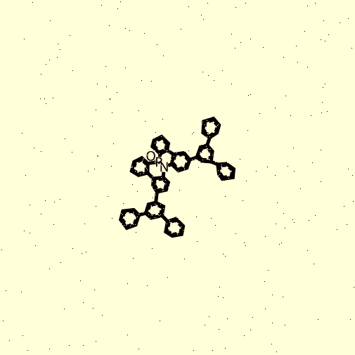 O=P12c3ccccc3-c3cc(-c4cc(-c5ccccc5)cc(-c5ccccc5)c4)ccc3N1c1ccc(-c3cc(-c4ccccc4)cc(-c4ccccc4)c3)cc1-c1ccccc12